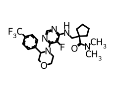 CN(C)C(=O)C1(CNc2ncnc(N3CCOCC3c3ccc(C(F)(F)F)cc3)c2F)CCCC1